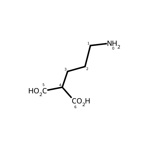 NCCCC(C(=O)O)C(=O)O